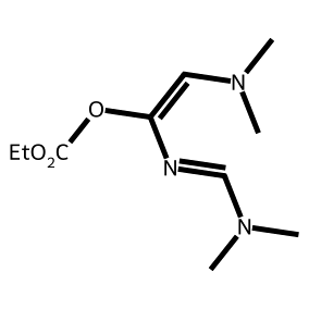 CCOC(=O)OC(=CN(C)C)N=CN(C)C